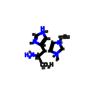 CCCCN1C=CN(C)C1.N[C@@H](Cc1c[nH]cn1)C(=O)O